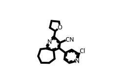 N#Cc1c(C2CCCO2)nc2c(c1-c1ccnc(Cl)c1)CCCCC2